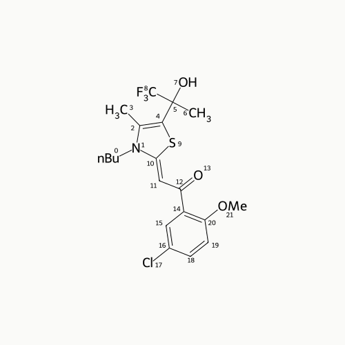 CCCCN1C(C)=C(C(C)(O)C(F)(F)F)S/C1=C\C(=O)c1cc(Cl)ccc1OC